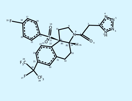 O=C(Cc1nnn[nH]1)N1CC[C@@]2(S(=O)(=O)c3ccc(F)cc3)c3ccc(C(F)(C(F)(F)F)C(F)(F)F)cc3CC[C@@H]12